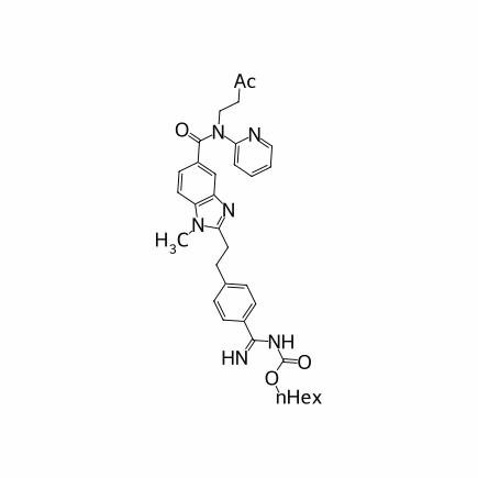 CCCCCCOC(=O)NC(=N)c1ccc(CCc2nc3cc(C(=O)N(CCC(C)=O)c4ccccn4)ccc3n2C)cc1